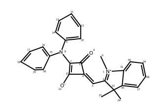 C[N+]1=C(C=C2C(=O)C(N(c3ccccc3)c3ccccc3)=C2[O-])C(C)(C)c2ccccc21